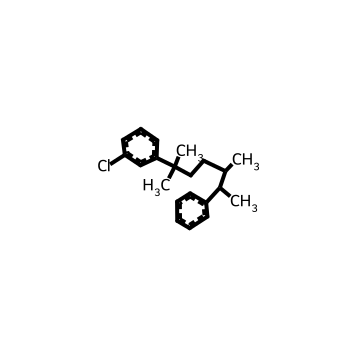 CC(CCC(C)(C)c1cccc(Cl)c1)C(C)c1ccccc1